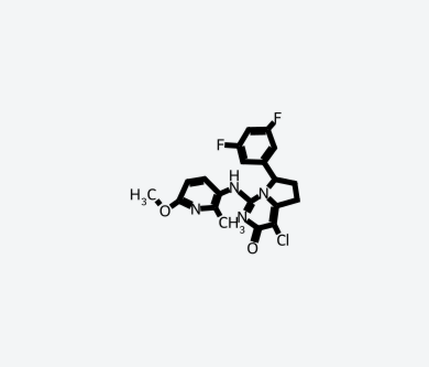 COc1ccc(Nc2nc(=O)c(Cl)c3n2C(c2cc(F)cc(F)c2)CC3)c(C)n1